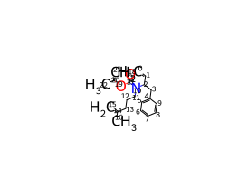 C=CC(Cc1ccccc1)N(CCCC(=C)C)C(=O)OC(=C)C